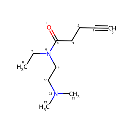 C#CCCC(=O)N(CC)CCN(C)C